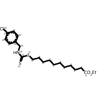 CCOC(=O)CCCCCCCCCCSC(=S)NCc1ccc(Cl)cc1